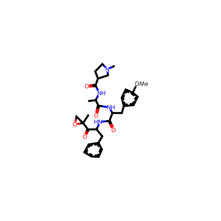 COc1ccc(CC(NC(=O)C(C)NC(=O)C2CCN(C)C2)C(=O)NC(Cc2ccccc2)C(=O)C2(C)CO2)cc1